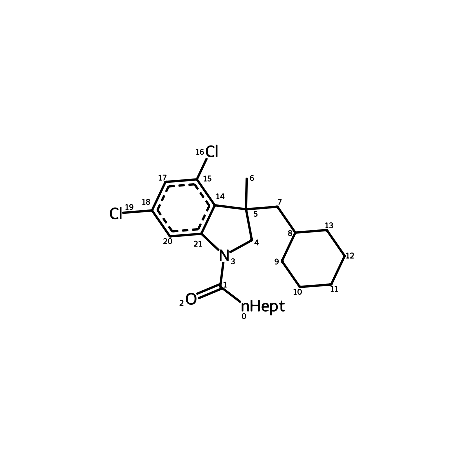 CCCCCCCC(=O)N1CC(C)(CC2CCCCC2)c2c(Cl)cc(Cl)cc21